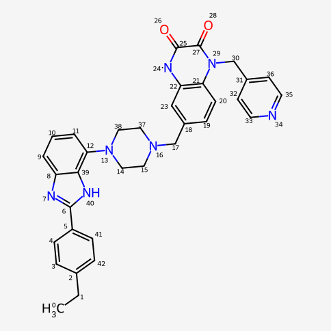 CCc1ccc(-c2nc3cccc(N4CCN(Cc5ccc6c(c5)[N]C(=O)C(=O)N6Cc5ccncc5)CC4)c3[nH]2)cc1